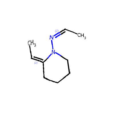 C/C=N\N1CCCC/C1=C/C